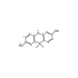 CC1(C)c2ccc(O)cc2Oc2ccc(O)cc21